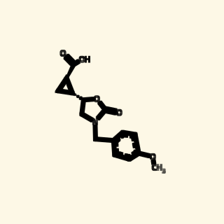 COc1ccc(CN2CC([C@@H]3C[C@H]3C(=O)O)OC2=O)cc1